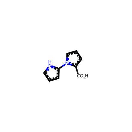 O=C(O)c1cccn1-c1ccc[nH]1